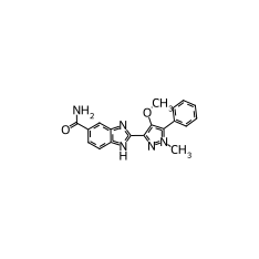 COc1c(-c2nc3cc(C(N)=O)ccc3[nH]2)nn(C)c1-c1ccccc1